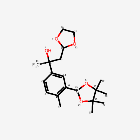 Cc1ccc(C(O)(CC2OCCO2)C(F)(F)F)cc1B1OC(C)(C)C(C)(C)O1